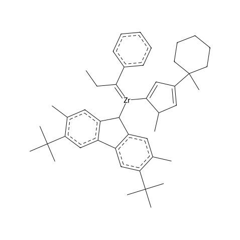 CC[C](c1ccccc1)=[Zr]([C]1=CC(C2(C)CCCCC2)=CC1C)[CH]1c2cc(C)c(C(C)(C)C)cc2-c2cc(C(C)(C)C)c(C)cc21